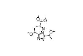 COC(OC)C(C)=Nn1c([C@H](C)OC)nnc1[C@H](C)OC